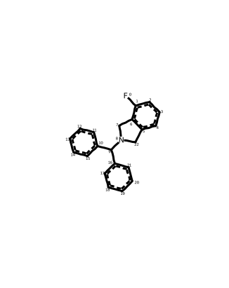 Fc1cccc2c1CN(C(c1ccccc1)c1ccccc1)C2